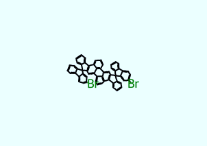 Brc1ccc2c(c1)C1(c3ccccc3-2)c2ccccc2-c2c1cc1c3cccc4c5c(cc(c6cccc2c61)c43)C1(c2ccccc2-c2ccc(Br)cc21)c1ccccc1-5